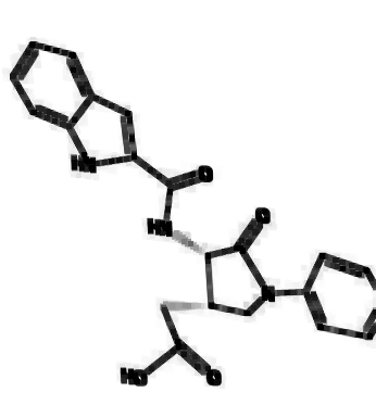 O=C(O)C[C@H]1CN(c2ccccc2)C(=O)[C@H]1NC(=O)c1cc2ccccc2[nH]1